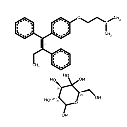 CC/C(=C(\c1ccccc1)c1ccc(OCCN(C)C)cc1)c1ccccc1.OC[C@H]1OC(O)[C@H](O)[C@@H](O)C1(O)O